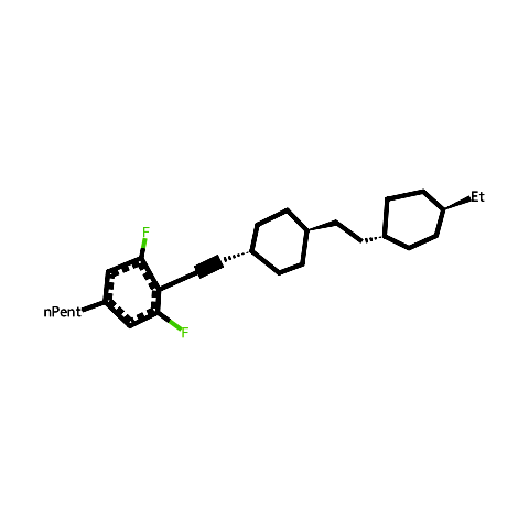 CCCCCc1cc(F)c(C#C[C@H]2CC[C@H](CC[C@H]3CC[C@H](CC)CC3)CC2)c(F)c1